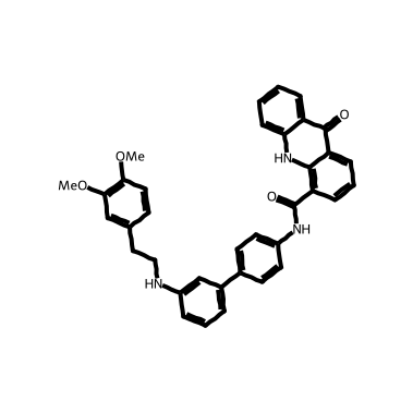 COc1ccc(CCNc2cccc(-c3ccc(NC(=O)c4cccc5c(=O)c6ccccc6[nH]c45)cc3)c2)cc1OC